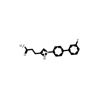 CC(=O)CCc1cn(-c2ccc(-c3cccc(F)c3)cc2)[nH]1